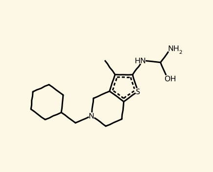 Cc1c(NC(N)O)sc2c1CN(CC1CCCCC1)CC2